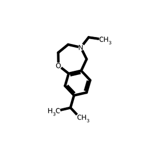 CCN1CCOc2cc(C(C)C)ccc2C1